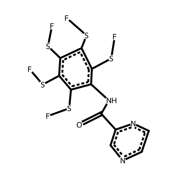 O=C(Nc1c(SF)c(SF)c(SF)c(SF)c1SF)c1cnccn1